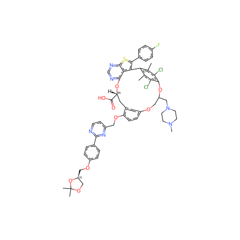 Cc1c(Cl)c2c(Cl)c(C)c1-c1c(-c3ccc(F)cc3)sc3ncnc(c13)O[C@@H](C(=O)O)Cc1cc(ccc1OCc1ccnc(-c3ccc(OC[C@H]4COC(C)(C)O4)cc3)n1)OCC(CN1CCN(C)CC1)O2